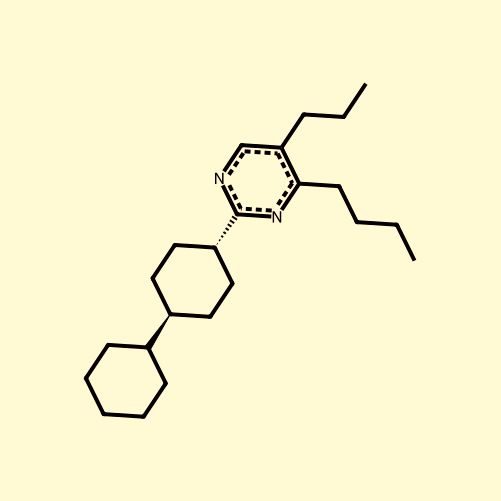 CCCCc1nc([C@H]2CC[C@H](C3CCCCC3)CC2)ncc1CCC